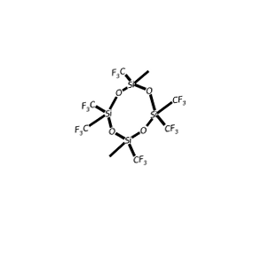 C[Si]1(C(F)(F)F)O[Si](C(F)(F)F)(C(F)(F)F)O[Si](C)(C(F)(F)F)O[Si](C(F)(F)F)(C(F)(F)F)O1